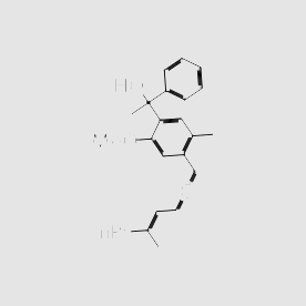 CCC/C(C)=C/C=C=Cc1cc(OC)c(C(C)(O)c2ccccc2)cc1C